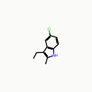 CCc1c(C)[nH]c2ccc(Cl)cc12